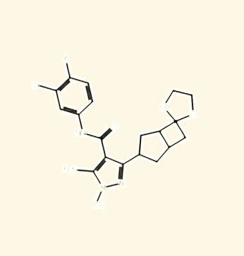 Cn1nc(C2CC3CC4(OCCO4)C3C2)c(C(=O)Nc2ccc(F)c(Cl)c2)c1N